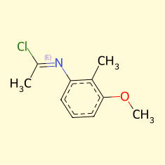 COc1cccc(/N=C(\C)Cl)c1C